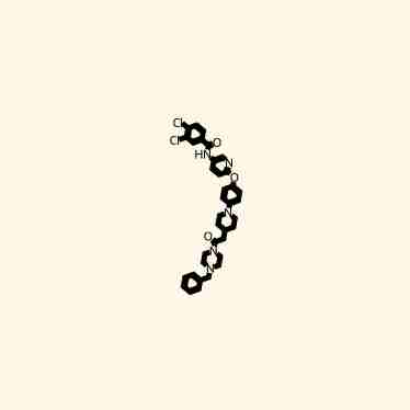 O=C(Nc1ccc(Oc2ccc(N3CCC(CC(=O)N4CCN(Cc5ccccc5)CC4)CC3)cc2)nc1)c1ccc(Cl)c(Cl)c1